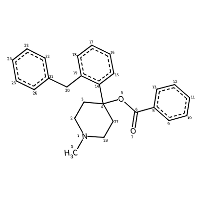 CN1CCC(OC(=O)c2ccccc2)(c2ccccc2Cc2ccccc2)CC1